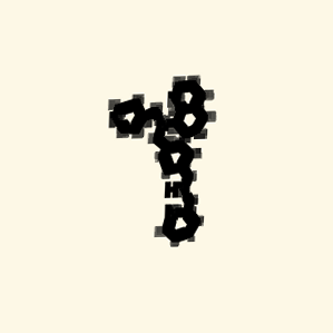 c1ccc(CNCc2ccc(CN(Cc3ccncc3)C3CCCc4cccnc43)cc2)nc1